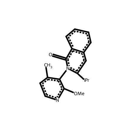 COc1nccc(C)c1-n1c(C(C)C)cc2ccccc2c1=O